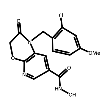 COc1ccc(CN2C(=O)COc3ncc(C(=O)NO)cc32)c(Cl)c1